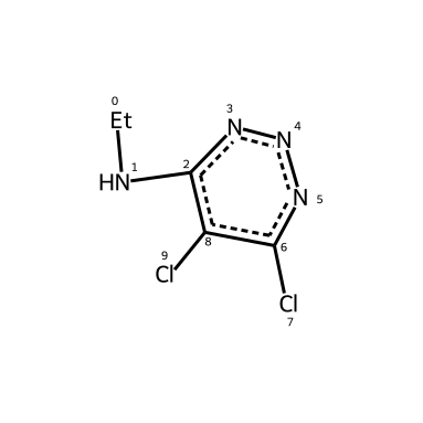 CCNc1nnnc(Cl)c1Cl